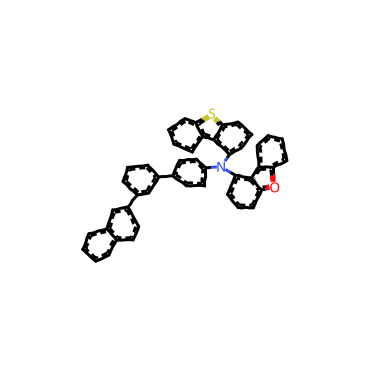 c1cc(-c2ccc(N(c3cccc4oc5ccccc5c34)c3cccc4sc5ccccc5c34)cc2)cc(-c2ccc3ccccc3c2)c1